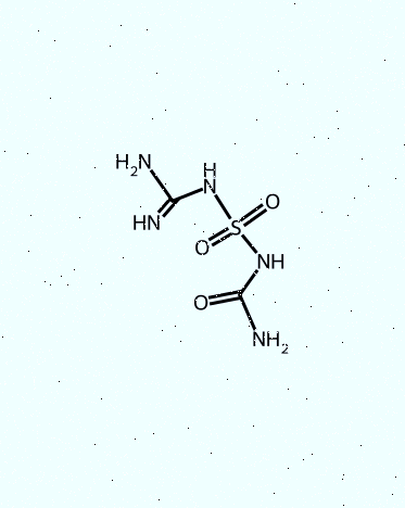 N=C(N)NS(=O)(=O)NC(N)=O